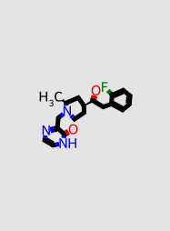 C[C@H]1C[C@@H](C(=O)Cc2ccccc2F)CCN1Cc1ncc[nH]c1=O